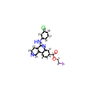 O=C(OCCI)c1ccc2c(c1)nc(Nc1cccc(Cl)c1)c1ccncc12